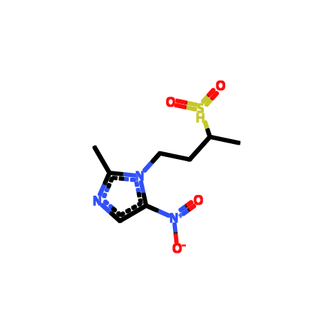 Cc1ncc([N+](=O)[O-])n1CCC(C)[SH](=O)=O